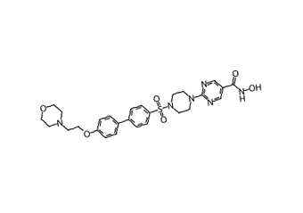 O=C(NO)c1cnc(N2CCN(S(=O)(=O)c3ccc(-c4ccc(OCCN5CCOCC5)cc4)cc3)CC2)nc1